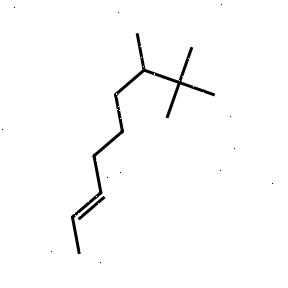 CC=CCCCC(C)C(C)(C)C